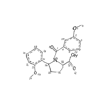 COc1cccc(C(=O)N2C(C(=O)O)CCC2c2ccccc2OC)c1